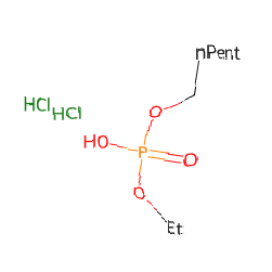 CCCCCCOP(=O)(O)OCC.Cl.Cl